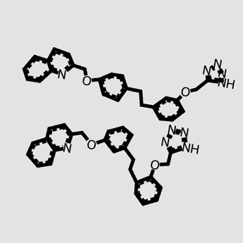 c1cc(CCc2ccc(OCc3ccc4ccccc4n3)cc2)cc(OCc2nnn[nH]2)c1.c1cc(CCc2ccccc2OCc2nnn[nH]2)cc(OCc2ccc3ccccc3n2)c1